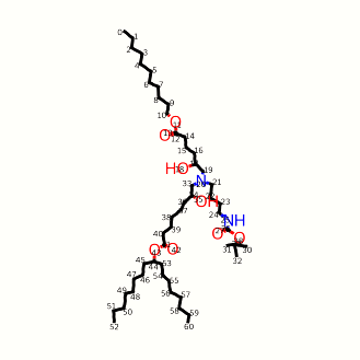 CCCCCCCCCCCOC(=O)CCCC(O)CN(CCCCNC(=O)OC(C)(C)C)CC(O)CCCCCC(=O)OC(CCCCCCCC)CCCCCCCC